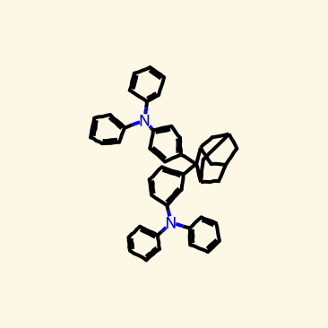 c1ccc(N(c2ccccc2)c2ccc(C3(c4cccc(N(c5ccccc5)c5ccccc5)c4)C4CC5CC(C4)CC3C5)cc2)cc1